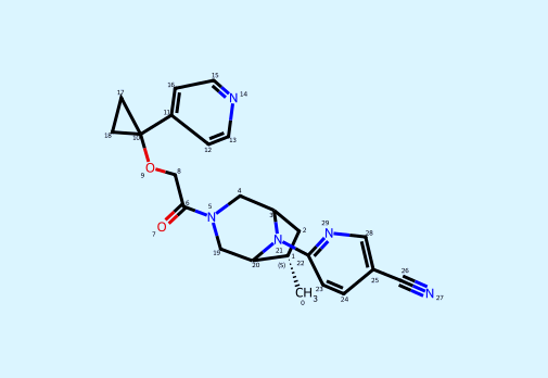 C[C@H]1CC2CN(C(=O)COC3(c4ccncc4)CC3)CC1N2c1ccc(C#N)cn1